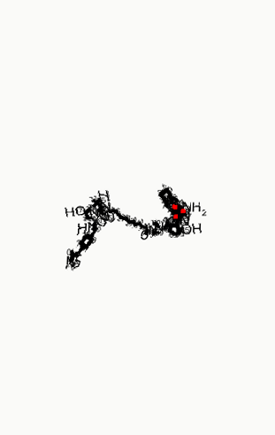 Cc1ncsc1-c1ccc(CNC(=O)[C@@H]2C[C@@H](O)CN2C(=O)[C@@H](NC(=O)CCCCCCCCCC(=O)N2CCN(CCOc3cccc(N4C5CCC4CN(c4cc(-c6ccccc6O)nnc4N)C5)c3)CC2)C(C)(C)C)cc1